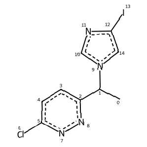 CC(c1ccc(Cl)nn1)n1cnc(I)c1